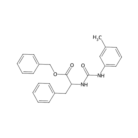 Cc1cccc(NC(=O)NC(Cc2ccccc2)C(=O)OCc2ccccc2)c1